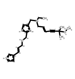 CCN(CC=CC#CC(C)(C)OC)Cc1csc(COCC=Cc2ccsc2)n1